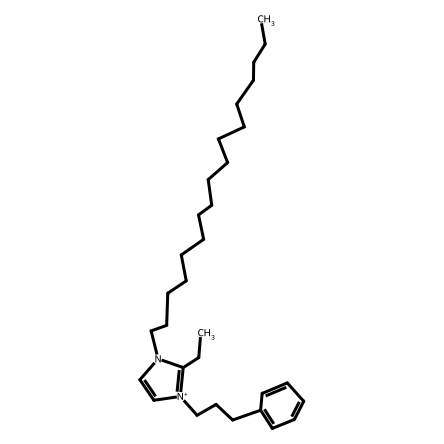 CCCCCCCCCCCCCCCCCn1cc[n+](CCCc2ccccc2)c1CC